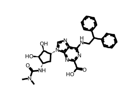 CN(C)C(=O)N[C@H]1C[C@@H](n2cnc3c(NCC(c4ccccc4)c4ccccc4)nc(C(=O)O)nc32)[C@H](O)[C@@H]1O